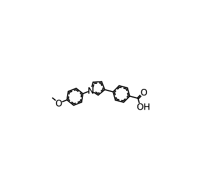 COc1ccc(-n2ccc(-c3ccc(C(=O)O)cc3)c2)cc1